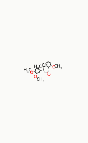 COc1ccc(C2CC(=O)Cc3c(OC)cccc3C2(C)C)cc1OC